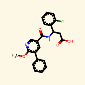 COc1ncc(C(=O)NC(CC(=O)O)c2ccccc2Cl)cc1-c1ccccc1